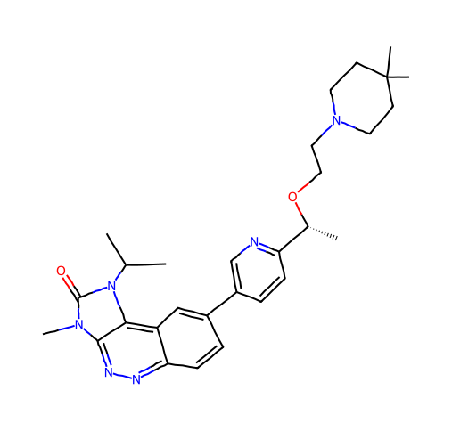 CC(C)n1c(=O)n(C)c2nnc3ccc(-c4ccc([C@@H](C)OCCN5CCC(C)(C)CC5)nc4)cc3c21